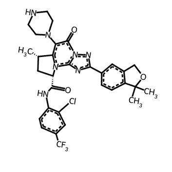 C[C@H]1C[C@@H](C(=O)Nc2ccc(C(F)(F)F)cc2Cl)n2c1c(N1CCNCC1)c(=O)n1nc(-c3ccc4c(c3)COC4(C)C)nc21